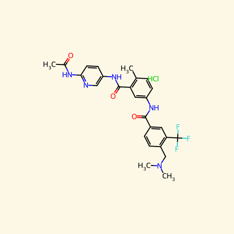 CC(=O)Nc1ccc(NC(=O)c2cc(NC(=O)c3ccc(CN(C)C)c(C(F)(F)F)c3)ccc2C)cn1.Cl